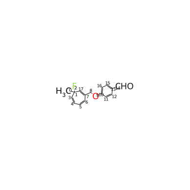 CC1(F)C=CC=CC(COc2ccc(C=O)cc2)=C1